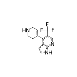 FC(F)(F)c1cnc2[nH]ccc2c1C1=CCNCC1